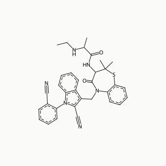 CCNC(C)C(=O)NC1C(=O)N(Cc2c(C#N)n(-c3ccccc3C#N)c3ccccc23)c2ccccc2SC1(C)C